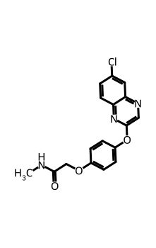 CNC(=O)COc1ccc(Oc2cnc3cc(Cl)ccc3n2)cc1